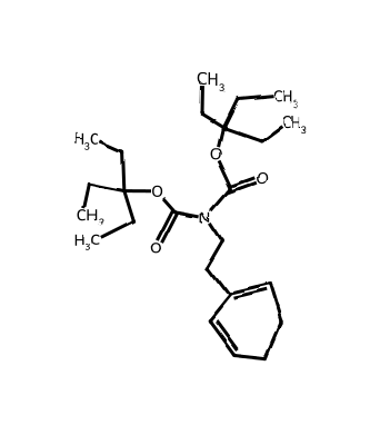 CCC(CC)(CC)OC(=O)N(CCC1=CCCC=C1)C(=O)OC(CC)(CC)CC